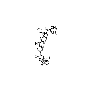 CN(C)C(=O)c1cc2cnc(Nc3ccc(N4C[C@]5(C[C@H]6CC[C@@H](C5)N6)OC4=O)cn3)nc2n1C1CCCC1